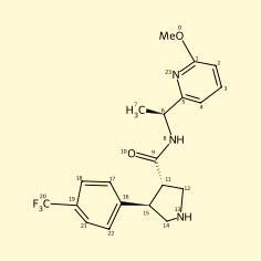 COc1cccc([C@H](C)NC(=O)[C@@H]2CNC[C@H]2c2ccc(C(F)(F)F)cc2)n1